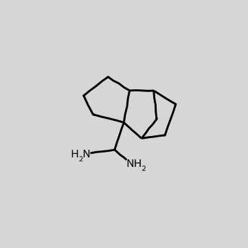 NC(N)C12CCCC1C1CCC2C1